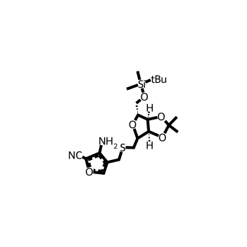 CC1(C)O[C@@H]2[C@@H](CO[Si](C)(C)C(C)(C)C)OC(CSCc3coc(C#N)c3N)[C@@H]2O1